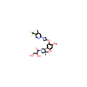 COc1ccc([C@@H]2CN(C(=O)C(O)CO)C[C@@]2(C)[C@@H](C)O)cc1OC1CN(c2cc(C)c(C(F)(F)F)cn2)C1